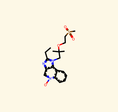 CCc1nc2c[n+]([O-])c3ccccc3c2n1CC(C)(C)OCCS(C)(=O)=O